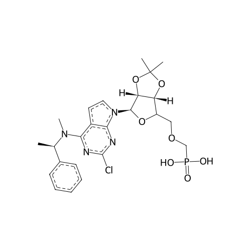 C[C@H](c1ccccc1)N(C)c1nc(Cl)nc2c1ccn2[C@@H]1OC(COCP(=O)(O)O)[C@H]2OC(C)(C)O[C@H]21